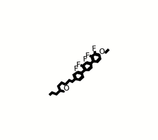 CCCC1CCC(CCc2ccc(-c3ccc(-c4ccc(OCC)c(F)c4F)c(F)c3F)c(F)c2)OC1